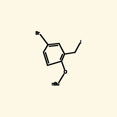 CCCCOc1ccc(Br)cc1CI